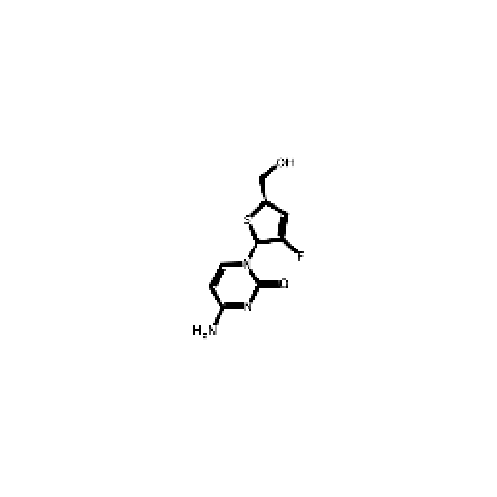 Nc1ccn([C@H]2S[C@@H](CO)C=C2F)c(=O)n1